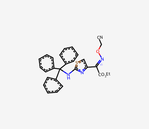 CCOC(=O)/C(=N/OCC#N)c1csc(NC(c2ccccc2)(c2ccccc2)c2ccccc2)n1